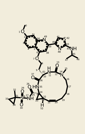 COc1ccc2c(OCC[C@@H]3NC(=O)N(C)CCCCC=C[C@@H]4C[C@@]4(C(=O)NS(=O)(=O)C4(C)CC4)NC3=O)cc(-c3csc(NC(C)C)n3)nc2c1